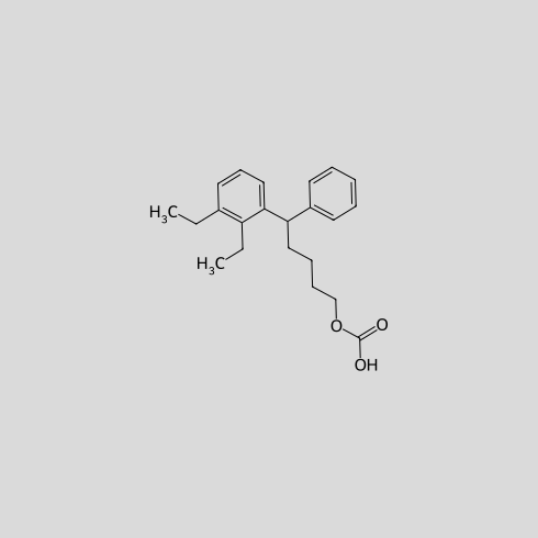 CCc1cccc(C(CCCCOC(=O)O)c2ccccc2)c1CC